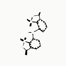 CC(C)(C)[SiH](c1cccc2c1S(=O)(=O)NC2=O)c1cccc2c1S(=O)(=O)NC2=O